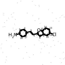 Nc1ccc(/C=C/c2cc3cc(Cl)ccc3o2)cc1